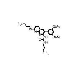 COc1cc(OC)cc(-c2cc3ccc(NCCCC(F)(F)F)nc3nc2NC(=O)NCCCC(F)(F)F)c1